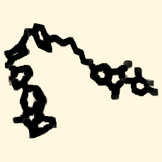 Cn1c2ccncc2c2ccc(-c3ccc(OC4CC(Oc5ccc(CCCCCCOc6ccc7c(c6)C(=O)N(C6CCC(=O)NC6=O)C7=O)cc5)C4)nc3)cc21